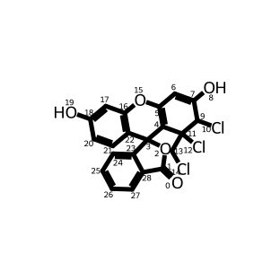 O=C1OC2(C3=C(C=C(O)C(Cl)C3(Cl)CCl)Oc3cc(O)ccc32)c2ccccc21